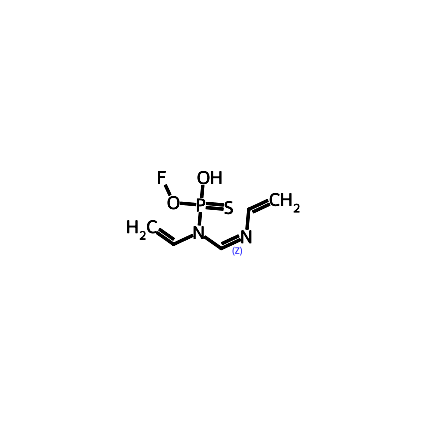 C=C/N=C\N(C=C)P(O)(=S)OF